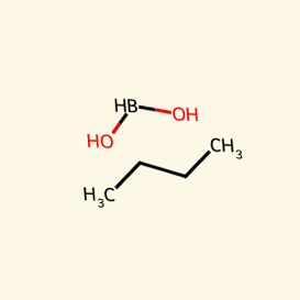 CCCC.OBO